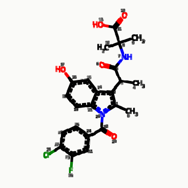 Cc1c(C(C)C(=O)NC(C)(C)C(=O)O)c2cc(O)ccc2n1C(=O)c1ccc(Cl)c(F)c1